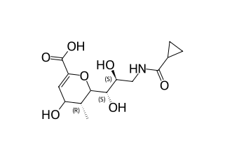 C[C@@H]1C(O)C=C(C(=O)O)OC1[C@@H](O)[C@@H](O)CNC(=O)C1CC1